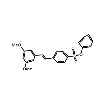 COc1cc(/C=C/c2ccc(S(=O)(=O)Oc3ccccc3)cc2)cc(OC)c1